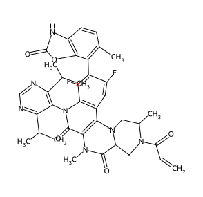 C=CC(=O)N1CC2C(=O)N(C)c3c(c4cc(F)c(-c5c(C)ccc6[nH]c(=O)oc56)c(F)c4n(-c4c(C(C)C)ncnc4C(C)C)c3=O)N2CC1C